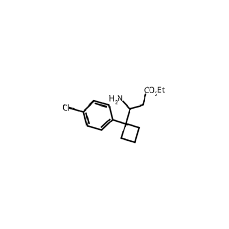 CCOC(=O)CC(N)C1(c2ccc(Cl)cc2)CCC1